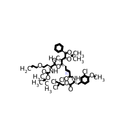 C=CCOCC[C@H](NC(=O)OC(C)(C)C)C(=O)O[C@@H](C/C=C/C(=O)N[C@H](Cc1ccc(OC)c(Cl)c1)C(=O)OCC(Cl)(Cl)Cl)[C@H](C)[C@H]1OC(C)(C)O[C@@H]1c1ccccc1